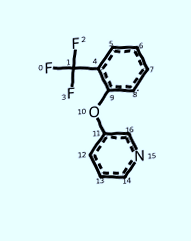 FC(F)(F)c1ccc[c]c1Oc1cccnc1